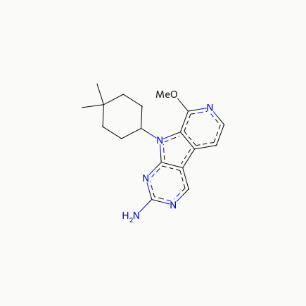 COc1nccc2c3cnc(N)nc3n(C3CCC(C)(C)CC3)c12